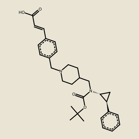 CC(C)(C)OC(=O)N(CC1CCN(Cc2ccc(/C=C/C(=O)O)cc2)CC1)[C@@H]1C[C@H]1c1ccccc1